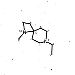 CCN1CCC2(CC1)CCN2C